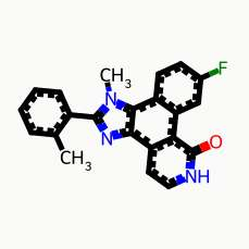 Cc1ccccc1-c1nc2c3cc[nH]c(=O)c3c3cc(F)ccc3c2n1C